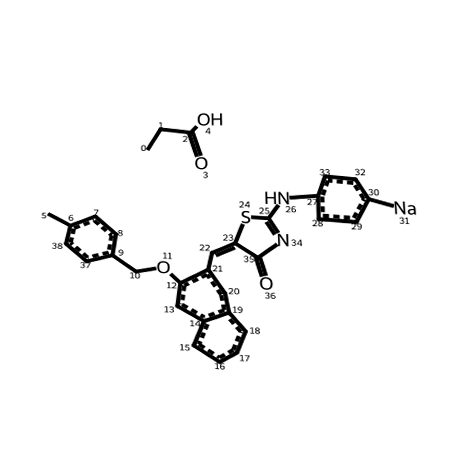 CCC(=O)O.Cc1ccc(COc2cc3ccccc3cc2C=C2SC(Nc3cc[c]([Na])cc3)=NC2=O)cc1